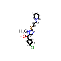 Cn1c(C(O)c2ccc(Cl)cc2)cnc1SCCCN1CCCCC1